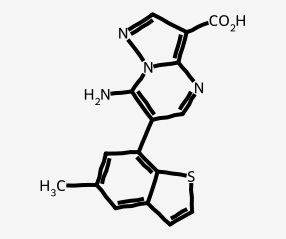 Cc1cc(-c2cnc3c(C(=O)O)cnn3c2N)c2sccc2c1